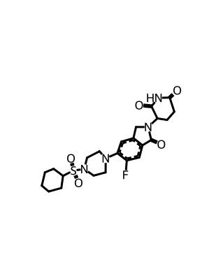 O=C1CCC(N2Cc3cc(N4CCN(S(=O)(=O)C5CCCCC5)CC4)c(F)cc3C2=O)C(=O)N1